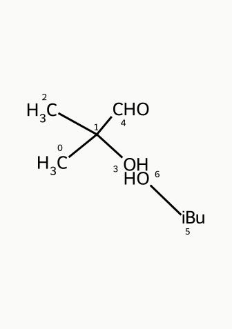 CC(C)(O)C=O.CCC(C)O